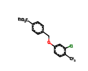 CCOC(=O)c1ccc(COc2ccc(C(F)(F)F)c(Cl)c2)cc1